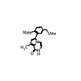 CNc1ccc(CSC)cc1-c1cc(C)c2c(=O)[nH]ccn12